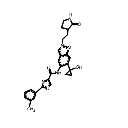 Cc1cccc(-c2nc(C(=O)Nc3cc4cn(CCC5CCNC5=O)nc4cc3C3(O)CC3)co2)c1